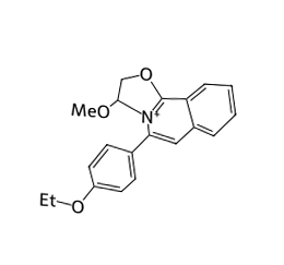 CCOc1ccc(-c2cc3ccccc3c3[n+]2C(OC)CO3)cc1